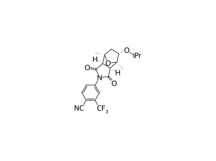 CC(C)O[C@H]1C[C@@]2(C)O[C@]1(C)[C@H]1C(=O)N(c3ccc(C#N)c(C(F)(F)F)c3)C(=O)[C@H]12